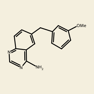 COc1cccc(Cc2ccc3ncnc(N)c3c2)c1